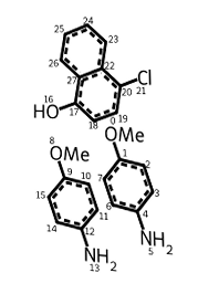 COc1ccc(N)cc1.COc1ccc(N)cc1.Oc1ccc(Cl)c2ccccc12